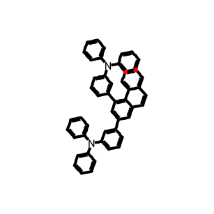 c1ccc(N(c2ccccc2)c2cccc(-c3cc(-c4cccc(N(c5ccccc5)c5ccccc5)c4)c4c(ccc5ccccc54)c3)c2)cc1